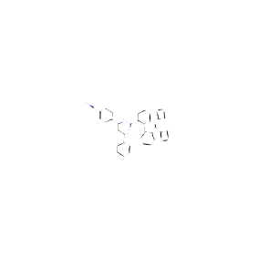 N#Cc1ccc(-c2cc(-c3ccccc3)nc(-c3cccc4c3-c3ccccc3C43c4ccccc4Sc4ccccc43)n2)cc1